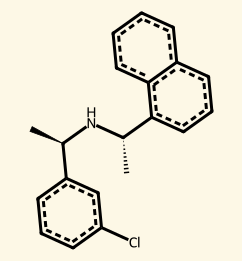 C[C@H](N[C@H](C)c1cccc(Cl)c1)c1cccc2ccccc12